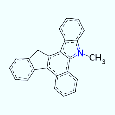 Cn1c2ccccc2c2c3c(c4ccccc4c21)-c1ccccc1C3